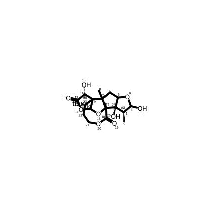 C[C@@H]1C(O)OC2CC3(C)C45C(OC(=O)[C@@H]4O)OC3(C(=O)OCC[C@H]5C(C)(C)C)[C@]21O